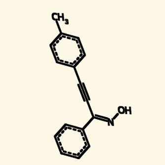 Cc1ccc(C#CC(=NO)c2ccccc2)cc1